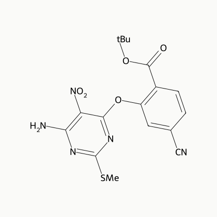 CSc1nc(N)c([N+](=O)[O-])c(Oc2cc(C#N)ccc2C(=O)OC(C)(C)C)n1